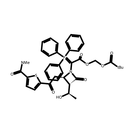 CNC(=O)c1ccc(C(=O)C[C@@H]2[C@@H]([C@@H](C)O)C(=O)N2C(C(=O)OCOC(=O)C(C)(C)C)=P(c2ccccc2)(c2ccccc2)c2ccccc2)s1